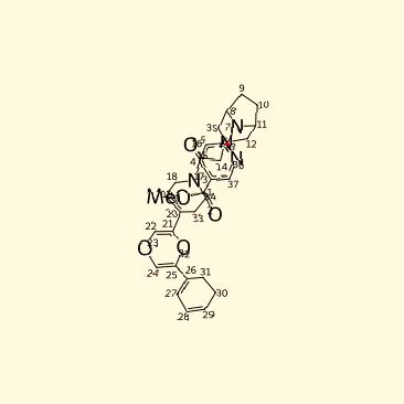 COC(=O)c1ccc(N2C3CCC2CN(CC(=O)N2CC=C(C4=COC=C(C5=CC=CCC5)O4)CC2)C3)nc1